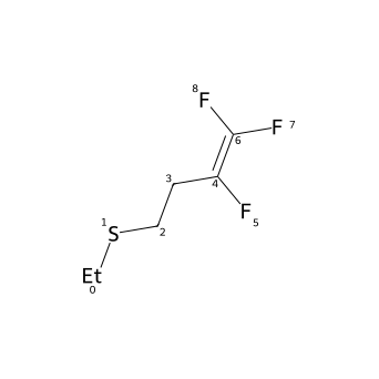 CCSCCC(F)=C(F)F